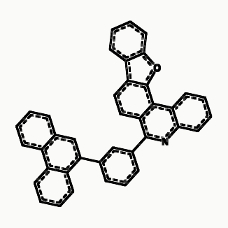 c1cc(-c2cc3ccccc3c3ccccc23)cc(-c2nc3ccccc3c3c2ccc2c4ccccc4oc23)c1